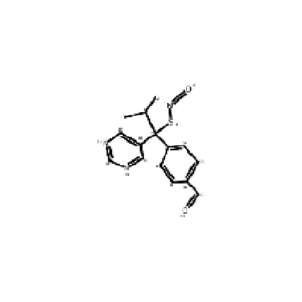 CC(C)C(SN=O)(c1ccc(C=O)cc1)c1cncnc1